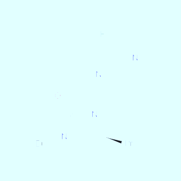 CCN1C[C@H](C(C)C)N(c2ccnc(F)n2)C1=O